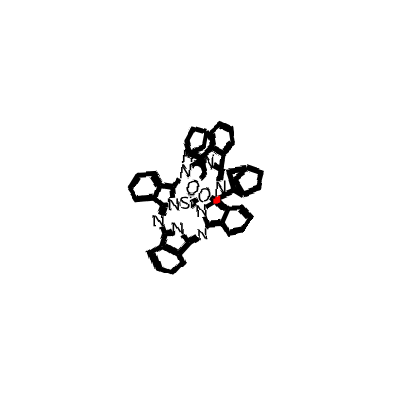 C1=CC2=C(CC1)/C1=N/c3c4ccccc4c4n3[Si](OCC3CC5CCC3C5)(OCC3CC5CCC3C5)N3/C(=N\C2=N1)c1ccccc1C3NC1=N/C(=N\4)c2ccccc21